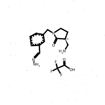 NC[C@@H]1CCN(Cc2cccc(C=NN)c2)C1=O.O=C(O)C(F)(F)F